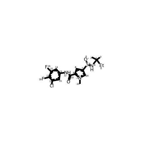 CCC(C)(C)N[S+]([O-])c1cc(C(=O)Nc2cc(F)c(F)c(Cl)c2)n(C)c1